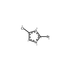 Clc1cnc(Br)s1